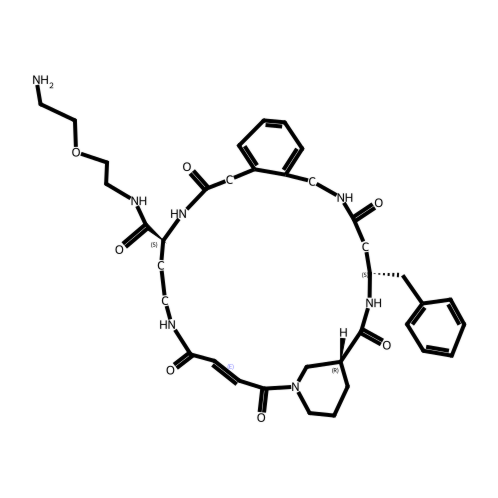 NCCOCCNC(=O)[C@@H]1CCNC(=O)/C=C/C(=O)N2CCC[C@H](C2)C(=O)N[C@@H](Cc2ccccc2)CC(=O)NCc2ccccc2CC(=O)N1